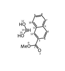 COC(=O)c1ccc2ccccc2c1.OBO